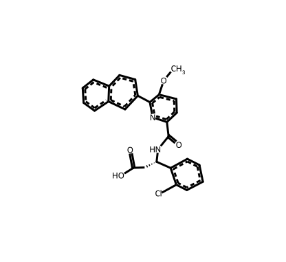 COc1ccc(C(=O)N[C@@H](CC(=O)O)c2ccccc2Cl)nc1-c1ccc2ccccc2c1